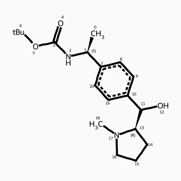 C[C@H](NC(=O)OC(C)(C)C)c1ccc(C(O)[C@H]2CCCN2C)cc1